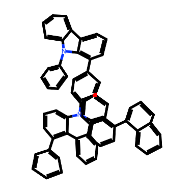 c1ccc(-c2ccccc2-c2c(-c3ccccc3)cccc2N(c2ccc(-c3cccc4c5ccccc5n(-c5ccccc5)c34)cc2)c2cccc(-c3cccc4ccccc34)c2)cc1